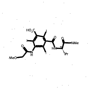 CNC(=O)[C@@H](NC(=O)c1c(I)c(NC(=O)COC)c(I)c(C(=O)O)c1I)C(C)C